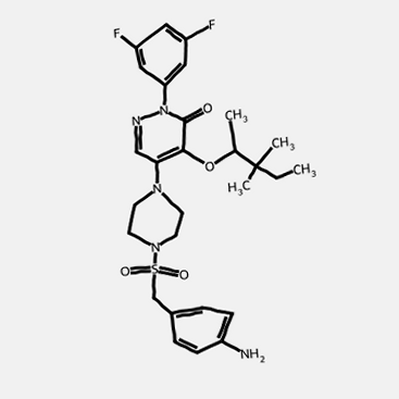 CCC(C)(C)C(C)Oc1c(N2CCN(S(=O)(=O)Cc3ccc(N)cc3)CC2)cnn(-c2cc(F)cc(F)c2)c1=O